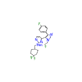 FCCn1cnc(-c2ccc(F)cc2)c1-c1ccnc(NCC2CCC(F)(F)CC2)n1